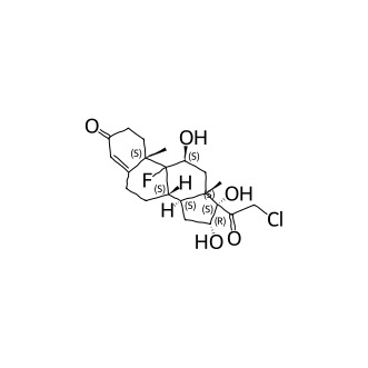 C[C@]12CCC(=O)C=C1CC[C@H]1[C@@H]3C[C@@H](O)[C@](O)(C(=O)CCl)[C@@]3(C)C[C@H](O)C12F